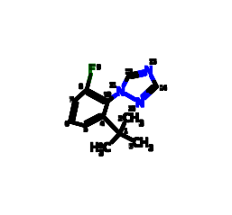 CC(C)(C)c1cccc(F)c1-n1cncn1